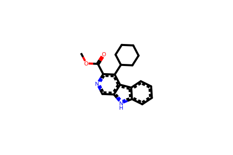 COC(=O)c1ncc2[nH]c3ccccc3c2c1C1CCCCC1